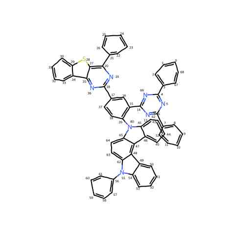 c1ccc(-c2nc(-c3ccccc3)nc(-c3cc(-c4nc(-c5ccccc5)c5sc6ccccc6c5n4)ccc3-n3c4ccccc4c4c5c6ccccc6n(-c6ccccc6)c5ccc43)n2)cc1